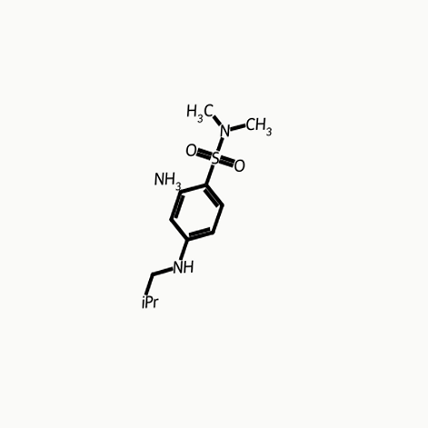 CC(C)CNc1ccc(S(=O)(=O)N(C)C)cc1.N